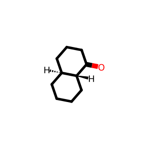 O=C1CCC[C@@H]2CCCC[C@@H]12